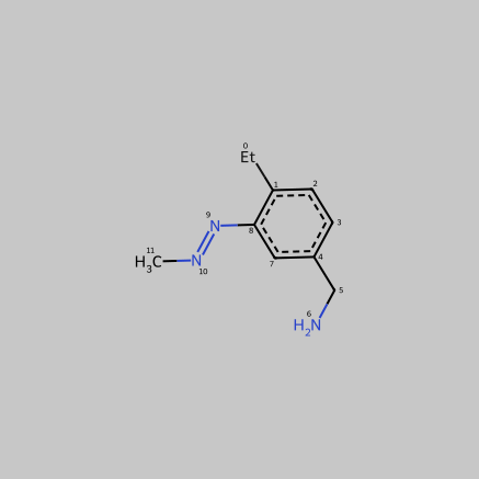 CCc1ccc(CN)cc1/N=N/C